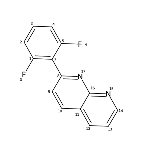 Fc1cccc(F)c1-c1ccc2cccnc2n1